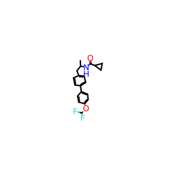 CC(Cc1ccc(-c2ccc(OC(F)F)cc2)cc1)NC(=O)C1CC1